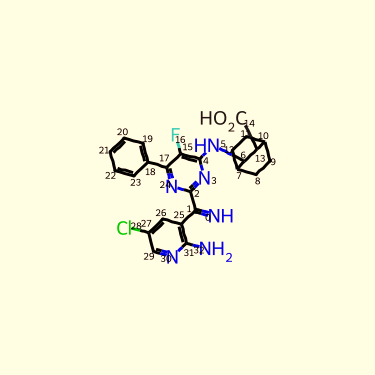 N=C(c1nc(NC2C3CCC(CC3)C2C(=O)O)c(F)c(-c2ccccc2)n1)c1cc(Cl)cnc1N